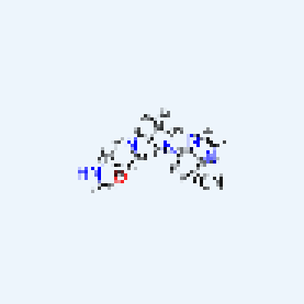 N#Cc1ccc(N2CC(CN3CCC4(CC3)CNCCO4)C3(CC3)C2)c2nccnc12